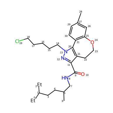 CCC(CC)CCC(C)CNC(=O)c1nn(CCCCCCl)c2c1CCOc1cc(C)ccc1-2